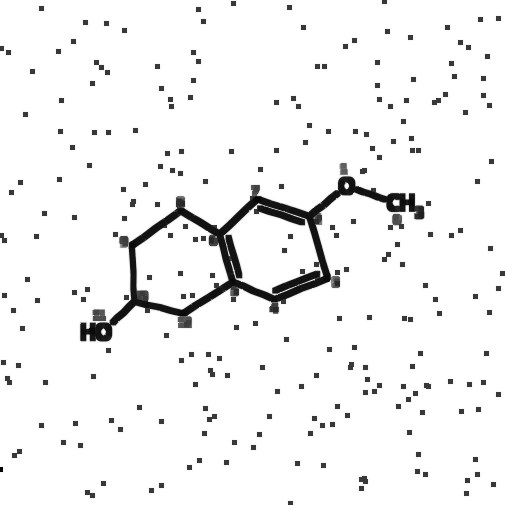 COc1ccc2c(c1)CCC(O)C2